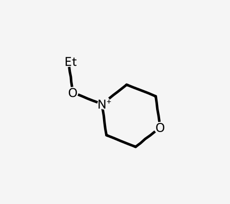 CCO[N+]1CCOCC1